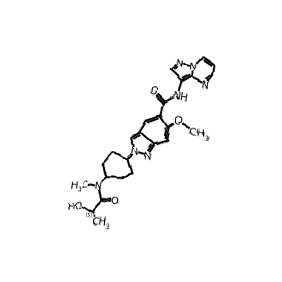 COc1cc2nn(C3CCC(N(C)C(=O)[C@H](C)O)CC3)cc2cc1C(=O)Nc1cnn2cccnc12